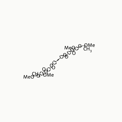 COc1cc(OCCC(C)OC)ccc1C(=O)Oc1ccc(C(=O)Oc2ccc(C#Cc3ccc(OC(=O)c4ccc(OC(=O)c5ccc(OCCC(C)OC)cc5OC)cc4)cc3)cc2)cc1